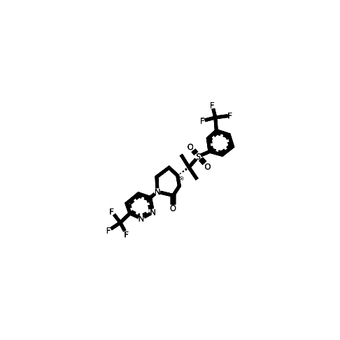 CC(C)([C@H]1CCN(c2ccc(C(F)(F)F)nn2)C(=O)C1)S(=O)(=O)c1cccc(C(F)(F)F)c1